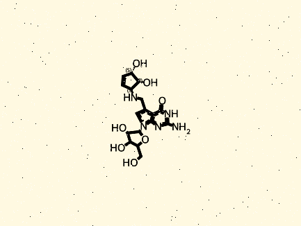 Nc1nc2c(c(CN[C@H]3C=C[C@H](O)[C@@H]3O)cn2C2OC(CO)C(O)C2O)c(=O)[nH]1